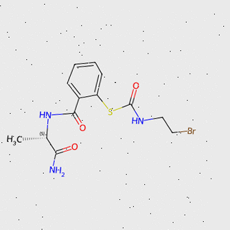 C[C@H](NC(=O)c1ccccc1SC(=O)NCCBr)C(N)=O